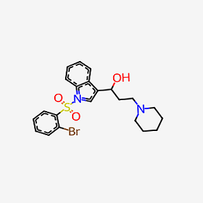 O=S(=O)(c1ccccc1Br)n1cc(C(O)CCN2CCCCC2)c2ccccc21